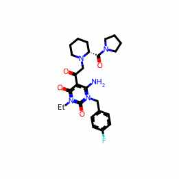 CCn1c(=O)c(C(=O)CN2CCCC[C@@H]2C(=O)N2CCCC2)c(N)n(Cc2ccc(F)cc2)c1=O